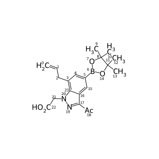 C=CCc1cc(B2OC(C)(C)C(C)(C)O2)cc2c(C(C)=O)nn(CC(=O)O)c12